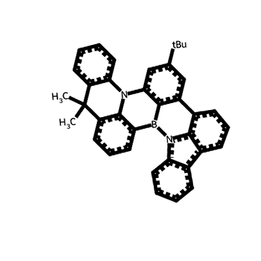 CC(C)(C)c1cc2c3c(c1)N1c4ccccc4C(C)(C)c4cccc(c41)B3n1c3ccccc3c3cccc-2c31